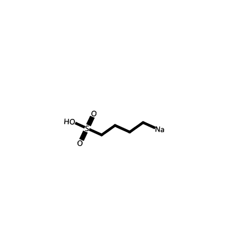 O=S(=O)(O)CCC[CH2][Na]